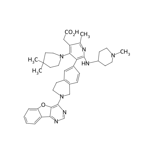 Cc1nc(NC2CCN(C)CC2)c(-c2ccc3c(c2)CCN(c2ncnc4c2oc2ccccc24)C3)c(N2CCC(C)(C)CC2)c1CC(=O)O